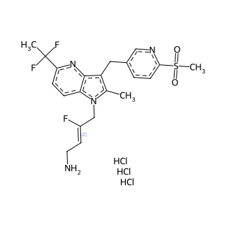 Cc1c(Cc2ccc(S(C)(=O)=O)nc2)c2nc(C(C)(F)F)ccc2n1C/C(F)=C/CN.Cl.Cl.Cl